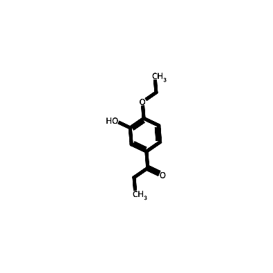 CCOc1ccc(C(=O)CC)cc1O